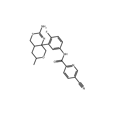 CC1CC2CSC(N)=NC2(c2cc(NC(=O)c3ccc(C#N)cn3)ccc2F)CO1